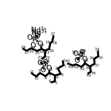 CCCCC(CC)C(CCCC)OP(=O)([O-])[O-].CCCCC(CC)C(CCCC)OP(=O)([O-])[O-].CCCCC(CC)C(CCCC)OP(=O)([O-])[O-].[Nd+3].[Nd+3]